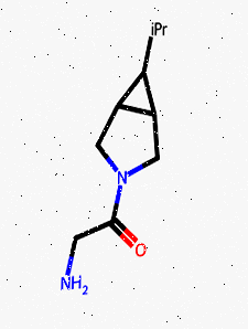 CC(C)C1C2CN(C(=O)CN)CC21